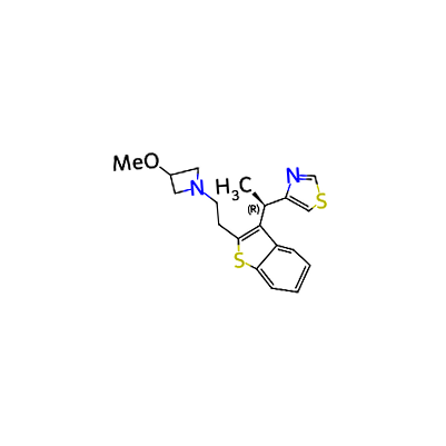 COC1CN(CCc2sc3ccccc3c2[C@@H](C)c2cscn2)C1